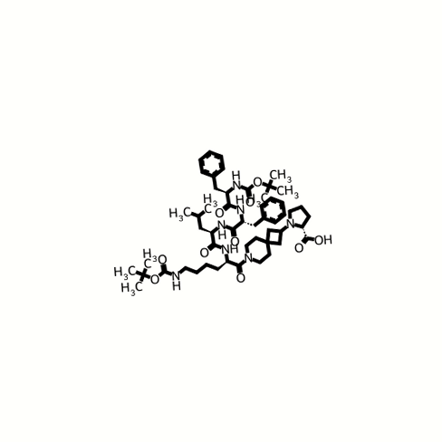 CC(C)C[C@@H](NC(=O)[C@@H](Cc1ccccc1)NC(=O)[C@@H](Cc1ccccc1)NC(=O)OC(C)(C)C)C(=O)N[C@H](CCCCNC(=O)OC(C)(C)C)C(=O)N1CCC2(CC1)CC(N1CCC[C@@H]1C(=O)O)C2